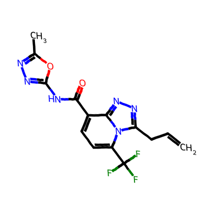 C=CCc1nnc2c(C(=O)Nc3nnc(C)o3)ccc(C(F)(F)F)n12